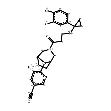 C[C@H]1CC2CN(C(=O)CCNC3(c4ccc(Cl)c(Cl)c4)CC3)CC1N2c1ccc(C#N)cn1